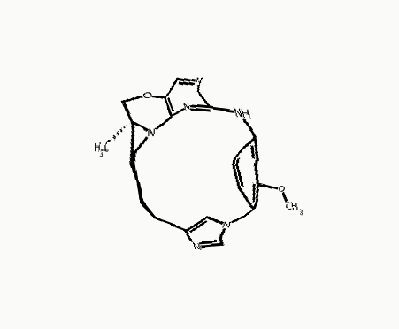 COc1cc2ccc1-n1cnc(c1)C1CC3(C1)CN1c4nc(ncc4OC[C@@]13C)N2